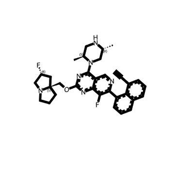 C#Cc1cccc2cccc(-c3ncc4c(N5C[C@@H](C)NC[C@@H]5C)nc(OC[C@@]56CCCN5C[C@H](F)C6)nc4c3F)c12